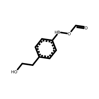 O=COBc1ccc(CCO)cc1